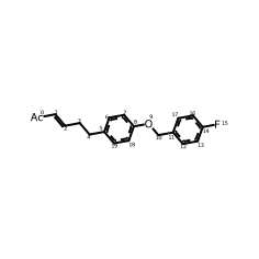 CC(=O)C=CCCc1ccc(OCc2ccc(F)cc2)cc1